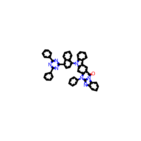 O=c1c2cc3c4ccccc4n(-c4ccc(-c5nc(-c6ccccc6)nc(-c6ccccc6)n5)c5ccccc45)c3cc2n(-c2ccccc2)c2nc3ccccc3n12